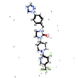 O=C1N(Cc2ccc(-n3cncn3)cc2)CCN1C1CCN(c2ncc(C(F)(F)F)cc2F)CC1